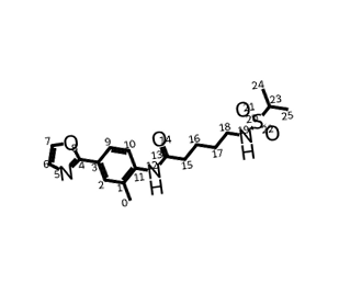 Cc1cc(-c2ncco2)ccc1NC(=O)CCCCNS(=O)(=O)C(C)C